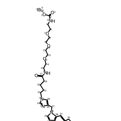 CC(C)(C)OC(=O)NCCOCCOCCOCCNC(=O)CCCCn1cnc(Cn2ccc3ccc(CN)cc32)c1